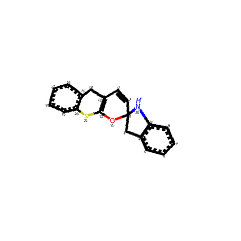 C1=CC2(Cc3ccccc3N2)OC2=C1Cc1ccccc1S2